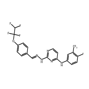 Fc1ccc(Nc2ccnc(N/N=C/c3ccc(OC(F)(F)C(F)F)cc3)n2)cc1C(F)(F)F